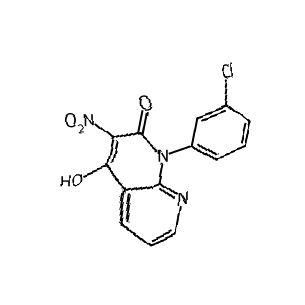 O=c1c([N+](=O)[O-])c(O)c2cccnc2n1-c1cccc(Cl)c1